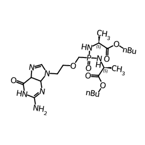 CCCCOC(=O)[C@H](C)NP(=O)(COCCN1C=NC2C(=O)NC(N)=NC21)N[C@@H](C)C(=O)OCCCC